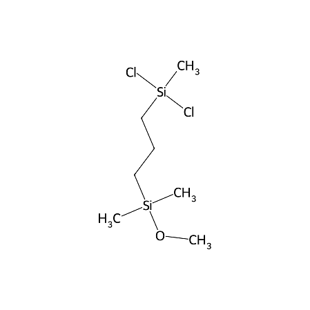 CO[Si](C)(C)CCC[Si](C)(Cl)Cl